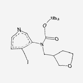 CC(C)(C)OC(=O)N(CC1CCOC1)c1cnccc1I